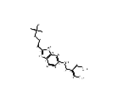 CC(C)(C)CCCc1nc2ccc(OC/C(=C/F)CN)cc2o1